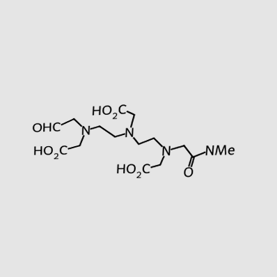 CNC(=O)CN(CCN(CCN(CC=O)CC(=O)O)CC(=O)O)CC(=O)O